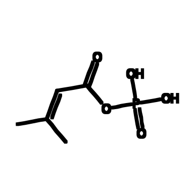 CC(C)=CC(=O)OP(=O)(O)O